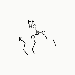 CCCOB(O)OCCC.CC[CH2][K].F